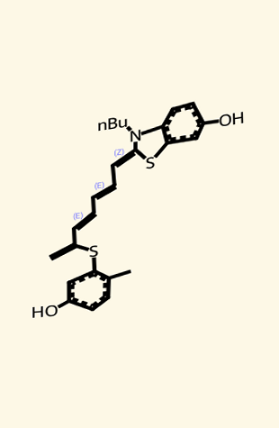 C=C(/C=C/C=C/C=C1\Sc2cc(O)ccc2N1CCCC)Sc1cc(O)ccc1C